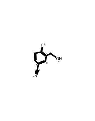 N#Cc1ccc(F)c([CH]O)c1